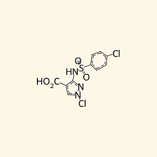 O=C(O)c1cn(Cl)nc1NS(=O)(=O)c1ccc(Cl)cc1